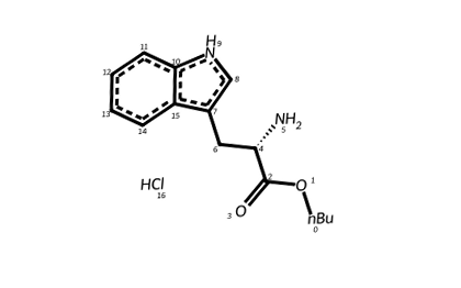 CCCCOC(=O)[C@@H](N)Cc1c[nH]c2ccccc12.Cl